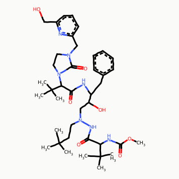 COC(=O)NC(C(=O)NN(CCC(C)(C)C)CC(O)C(Cc1ccccc1)NC(=O)C(N1CCN(Cc2cccc(CO)n2)C1=O)C(C)(C)C)C(C)(C)C